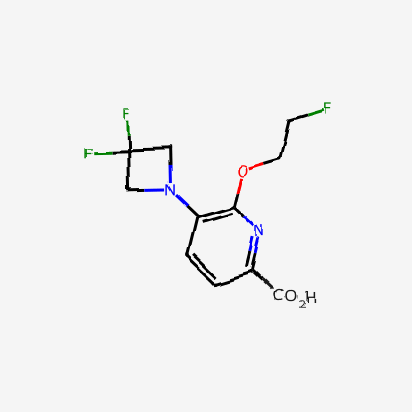 O=C(O)c1ccc(N2CC(F)(F)C2)c(OCCF)n1